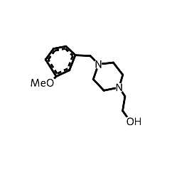 COc1cccc(CN2CCN(CCO)CC2)c1